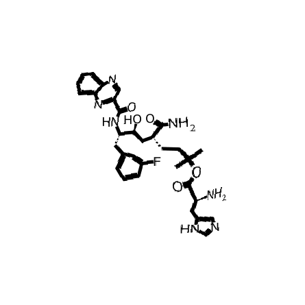 CC(C)(CC[C@H](C[C@H](O)[C@H](Cc1cccc(F)c1)NC(=O)c1cnc2ccccc2n1)C(N)=O)OC(=O)[C@@H](N)Cc1cnc[nH]1